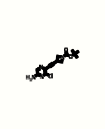 CC(C)(C)OC(=O)N1CC(C#Cc2ncc(N)nc2Cl)C1